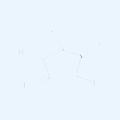 C=CC(C)C(C)C(=O)OCC